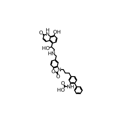 O=C(O)Nc1cc(CCCn2c(=O)oc3ccc(CNCC(O)c4ccc(O)c5[nH]c(=O)ccc45)cc32)ccc1-c1ccccc1